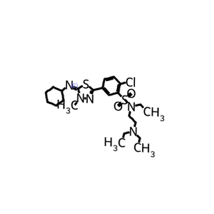 CCN(CC)CCN(CC)S(=O)(=O)c1cc(-c2nn(C)/c(=N\C3CCCCC3)s2)ccc1Cl